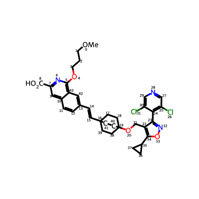 COCCCOc1nc(C(=O)O)cc2ccc(C=CC34CCC(OCc5c(-c6c(Cl)cncc6Cl)noc5C5CC5)(CC3)CC4)cc12